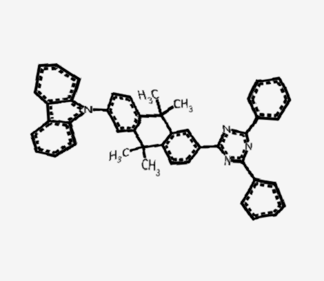 CC1(C)c2ccc(-n3c4ccccc4c4ccccc43)cc2C(C)(C)c2ccc(-c3nc(-c4ccccc4)nc(-c4ccccc4)n3)cc21